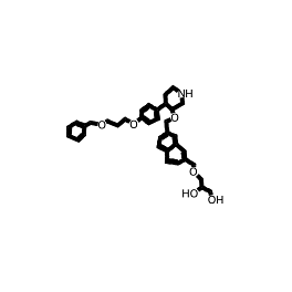 OCC(O)COCc1ccc2ccc(COC3CNCCC3c3ccc(OCCCOCc4ccccc4)cc3)cc2c1